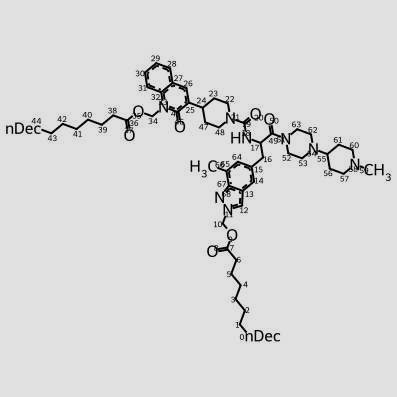 CCCCCCCCCCCCCCCCC(=O)OCn1cc2cc(CC(NC(=O)N3CCC(c4cc5ccccc5n(COC(=O)CCCCCCCCCCCCCCCC)c4=O)CC3)C(=O)N3CCN(C4CCN(C)CC4)CC3)cc(C)c2n1